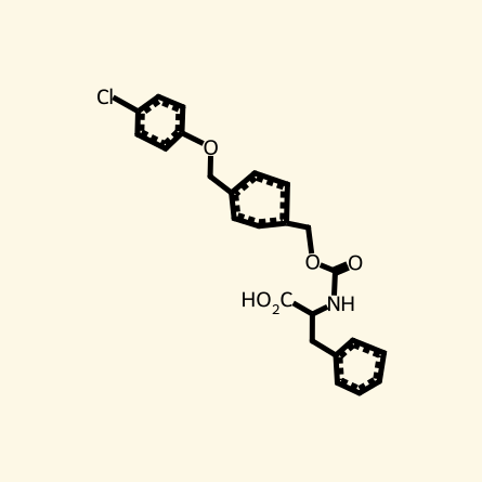 O=C(NC(Cc1ccccc1)C(=O)O)OCc1ccc(COc2ccc(Cl)cc2)cc1